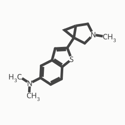 CN1CC2CC2(c2cc3cc(N(C)C)ccc3s2)C1